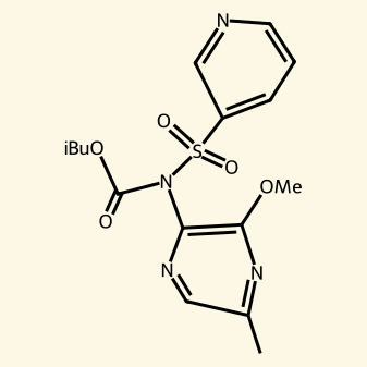 COc1nc(C)cnc1N(C(=O)OCC(C)C)S(=O)(=O)c1cccnc1